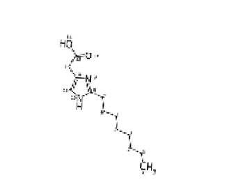 CCCCCCCCc1nc(CC(=O)O)c[nH]1